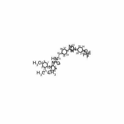 CCc1cc(C)ccc1N1C(=NC(=O)NCCc2ccc(-c3ncn(-c4ccc(OC(F)(F)F)cc4)n3)cc2)SCC1C